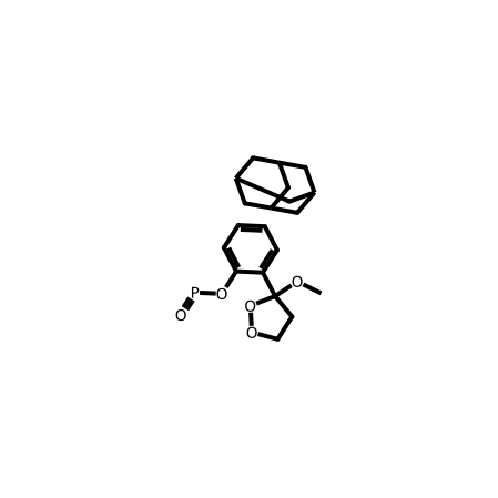 C1C2CC3CC1CC(C2)C3.COC1(c2ccccc2OP=O)CCOO1